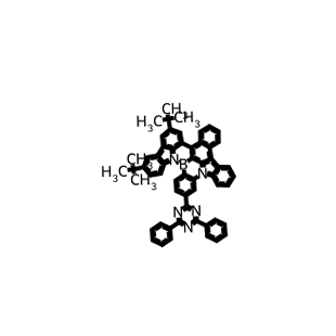 CC(C)(C)c1ccc2c(c1)c1cc(C(C)(C)C)cc3c1n2B1c2ccc(-c4nc(-c5ccccc5)nc(-c5ccccc5)n4)cc2-n2c4ccccc4c4c5ccccc5c-3c1c42